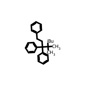 CCC(C)C(C)(C)C(CCc1ccccc1)(c1ccccc1)c1ccccc1